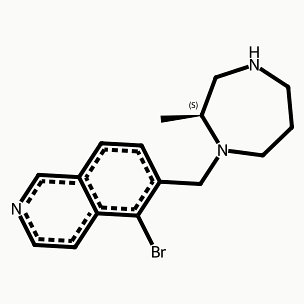 C[C@H]1CNCCCN1Cc1ccc2cnccc2c1Br